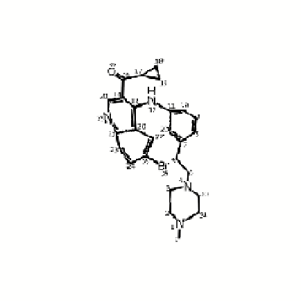 CN1CCN(CCc2cccc(Nc3c(C(=O)C4CC4)cnc4ccc(Br)cc34)c2)CC1